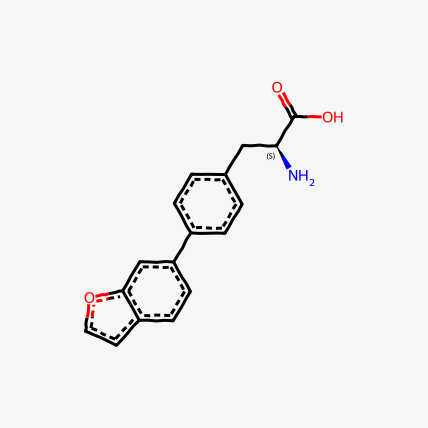 N[C@@H](Cc1ccc(-c2ccc3ccoc3c2)cc1)C(=O)O